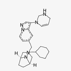 C1=CN(c2cnn3ccc(CN4C[C@H]5CC[C@@H](C4)N5CC4CCCCC4)cc23)CNC1